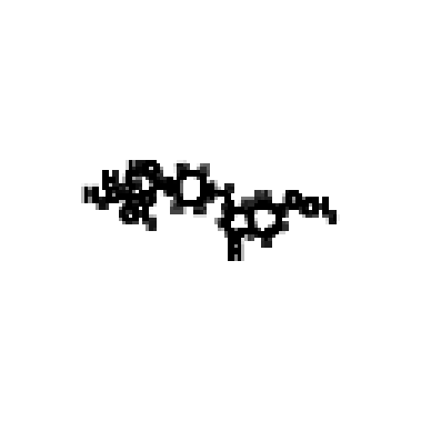 COc1ccc2[nH]cc(CN3CCN(C(O)OC(C)(C)C)CC3)c2c1